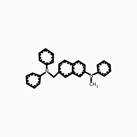 CN(c1ccccc1)c1ccc2ccc(CN(c3ccccc3)c3ccccc3)cc2c1